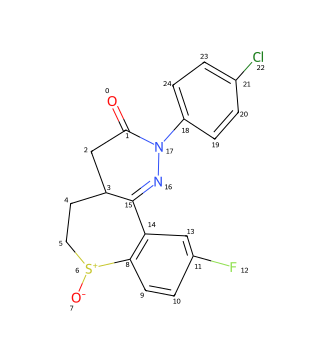 O=C1CC2CC[S+]([O-])c3ccc(F)cc3C2=NN1c1ccc(Cl)cc1